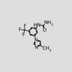 Cc1cn(-c2cc(NC(N)=O)cc(C(F)(F)F)c2)cn1